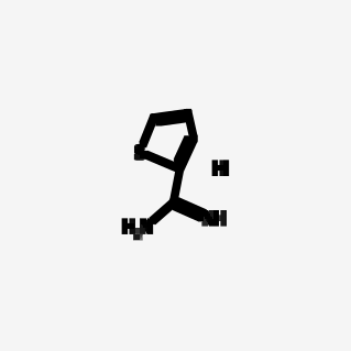 I.N=C(N)c1cccs1